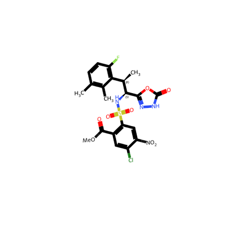 COC(=O)c1cc(Cl)c([N+](=O)[O-])cc1S(=O)(=O)N[C@H](c1n[nH]c(=O)o1)[C@H](C)c1c(F)ccc(C)c1C